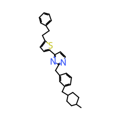 CC1CCC(Cc2cccc(Cc3nccc(-c4ccc(CCc5ccccc5)s4)n3)c2)CC1